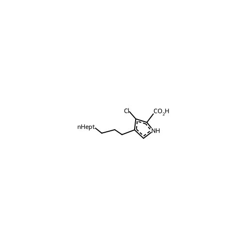 CCCCCCCCCCc1c[nH]c(C(=O)O)c1Cl